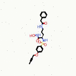 CC#CCOc1ccc(S(=O)(=O)N[C@H](CCCNC(=O)Cc2ccccc2)C(=O)NO)cc1